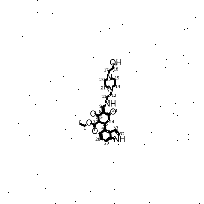 CCOC(=O)C1C(=O)C(=CNCCN2CCN(CCO)CC2)C(=O)CC1c1cccc2[nH]ccc12